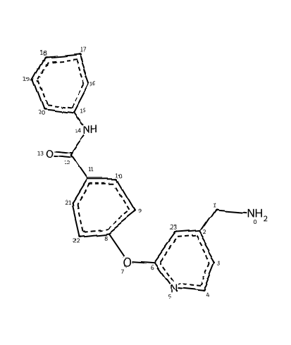 NCc1ccnc(Oc2ccc(C(=O)Nc3ccccc3)cc2)c1